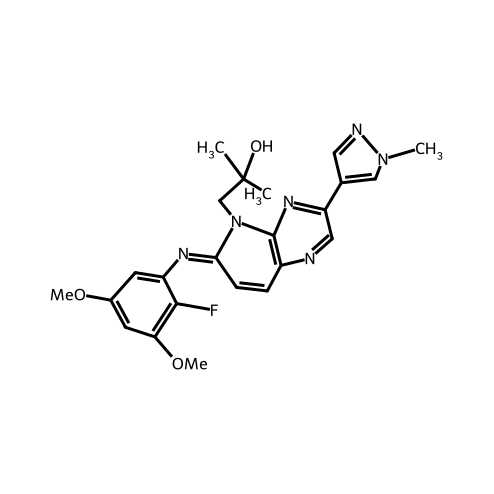 COc1cc(/N=c2\ccc3ncc(-c4cnn(C)c4)nc3n2CC(C)(C)O)c(F)c(OC)c1